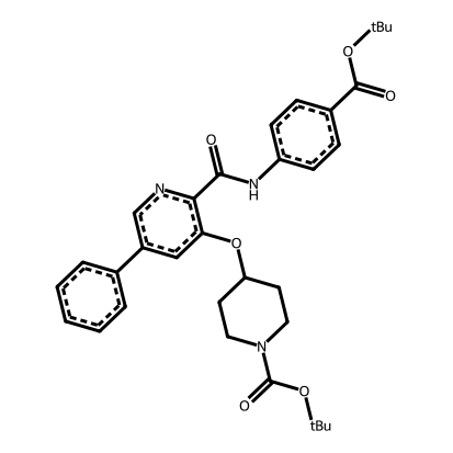 CC(C)(C)OC(=O)c1ccc(NC(=O)c2ncc(-c3ccccc3)cc2OC2CCN(C(=O)OC(C)(C)C)CC2)cc1